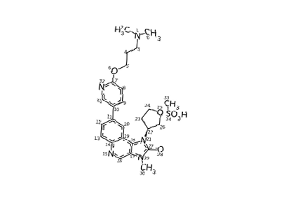 CN(C)CCCOc1ccc(-c2ccc3ncc4c(c3c2)n([C@H]2CCOC2)c(=O)n4C)cn1.CS(=O)(=O)O